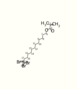 C=C(C)C(=O)OCCCCCCCCCCCC[Si](Br)(Br)Br